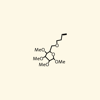 C=CCCOCC1OC(OC)C(OC)C(OC)C1OC